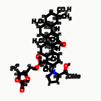 COC(=O)[C@H]1CCCN1[C@H]1CC[C@@]2(C)C(CC[C@]3(C)[C@@H]2C(=O)C=C2[C@@H]4C[C@@](C)(C(=O)O)CC[C@]4(C)CC[C@]23C)[C@]1(C)C(=O)OCc1oc(=O)oc1C(C)C